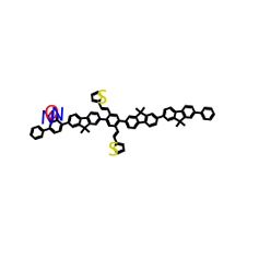 CC1(C)c2cc(-c3ccccc3)ccc2-c2ccc(-c3ccc4c(c3)C(C)(C)c3cc(-c5cc(/C=C/c6cccs6)c(-c6ccc7c(c6)C(C)(C)c6cc(-c8ccc(-c9ccccc9)c9nonc89)ccc6-7)cc5/C=C/c5cccs5)ccc3-4)cc21